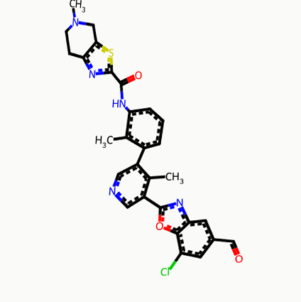 Cc1c(NC(=O)c2nc3c(s2)CN(C)CC3)cccc1-c1cncc(-c2nc3cc(C=O)cc(Cl)c3o2)c1C